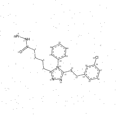 CCCNC(=O)CCCCc1nnc(SCc2cccc(Cl)c2)n1-c1ccccc1